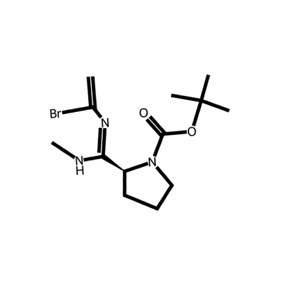 C=C(Br)/N=C(\NC)[C@@H]1CCCN1C(=O)OC(C)(C)C